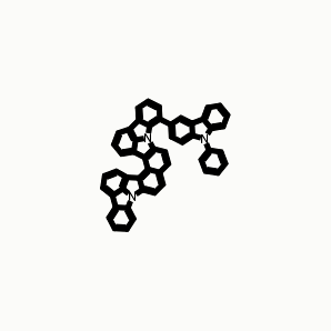 c1ccc(-n2c3ccccc3c3cc(-c4cccc5c6cccc7c8c9c(ccc%10c9c9cccc%11c%12ccccc%12n%10c%119)ccc8n(c45)c67)ccc32)cc1